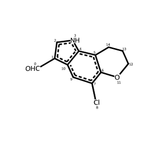 O=Cc1c[nH]c2c3c(c(Cl)cc12)OCCC3